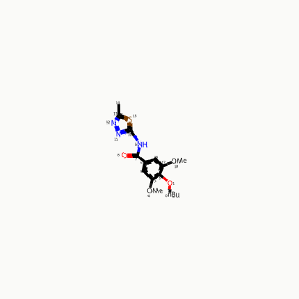 CCCCOc1c(OC)cc(C(=O)Nc2nnc(C)s2)cc1OC